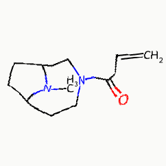 C=CC(=O)N1CCC2CCC(C1)N2C